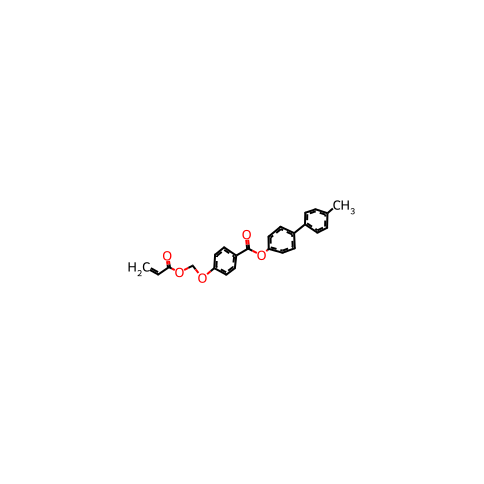 C=CC(=O)OCOc1ccc(C(=O)Oc2ccc(-c3ccc(C)cc3)cc2)cc1